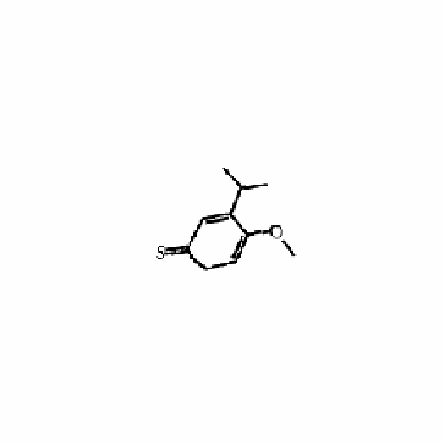 COC1=CCC(=S)C=C1C(C)C